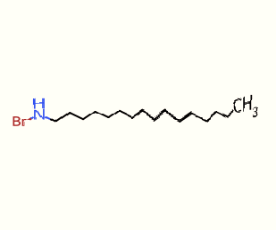 CCCCCCCCCCCCCCCCNBr